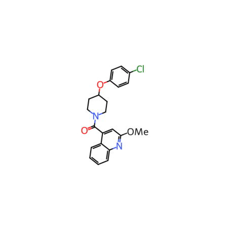 COc1cc(C(=O)N2CCC(Oc3ccc(Cl)cc3)CC2)c2ccccc2n1